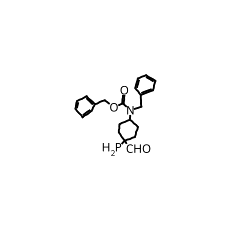 O=CC1(P)CCC(N(Cc2ccccc2)C(=O)OCc2ccccc2)CC1